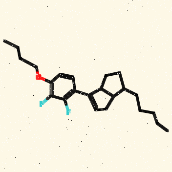 CCCCCC1CCC2C(c3ccc(OCCCC)c(F)c3F)=CCC12